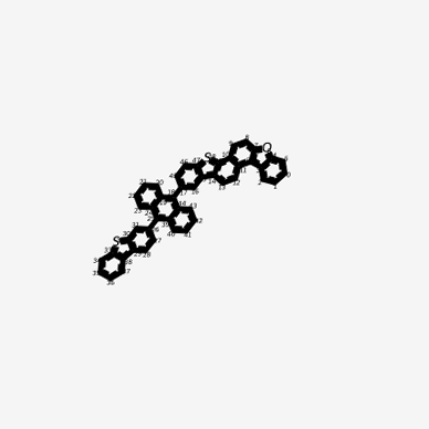 c1ccc2c(c1)oc1ccc3c(ccc4c5cc(-c6c7ccccc7c(-c7ccc8c(c7)sc7ccccc78)c7ccccc67)ccc5sc43)c12